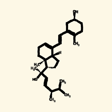 CC1=C(/C=C/C2=CCC[C@@]3(C)[C@H]2CC[C@@H]3[C@](C)(O)/C=C/[C@H](C)C(C)C)C[C@@H](O)CC1